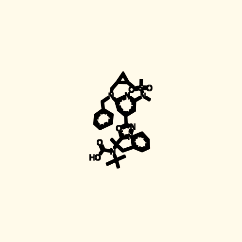 CC1CC1CN(Cc1ccccc1)c1cc(-c2nnc(C(C)(Cc3ccccc3)N(C(=O)O)C(C)(C)C)o2)cc(N(C)S(C)(=O)=O)n1